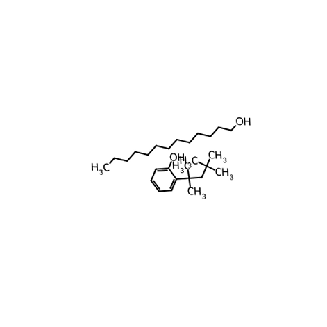 CC(C)(C)CC(C)(C)c1ccccc1O.CCCCCCCCCCCCCO